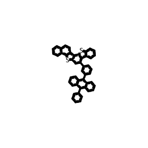 c1ccc(-c2c3ccccc3c(-c3cccc(-c4cc5sc6c7ccccc7ccc6c5c5sc6ccccc6c45)c3)c3ccccc23)cc1